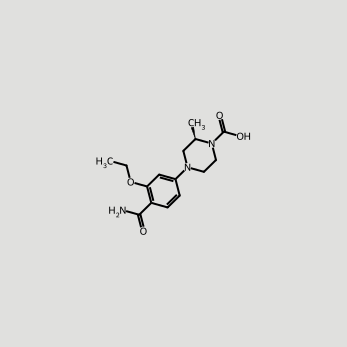 CCOc1cc(N2CCN(C(=O)O)[C@H](C)C2)ccc1C(N)=O